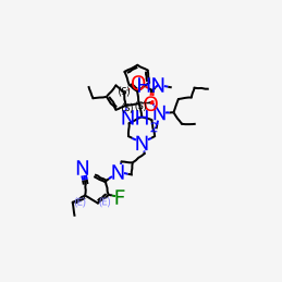 C=C(/C(F)=C\C(C#N)=C/C)N1CC(CN2CCC([C@@](CN(C)C(CC)CCCC)(c3ccccc3)[C@@]3(N)C=C(CC)C[C@@H]3OC(=O)NC)CC2)C1